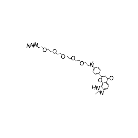 Cc1nc2ccc3c(=O)cc(-c4ccc(N(C)CCOCCOCCOCCOCCOCCN=[N+]=[N-])cc4)oc3c2[nH]1